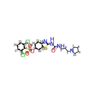 O=C(NCCCN1CCCC1)Nc1nc2ccc(OS(=O)(=O)c3c(Cl)cccc3Cl)cc2s1